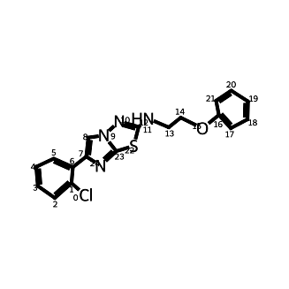 Clc1ccccc1-c1cn2nc(NCCOc3ccccc3)sc2n1